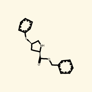 O=C(OCc1ccccc1)[C@H]1C[C@@H](Sc2ccccc2)CN1